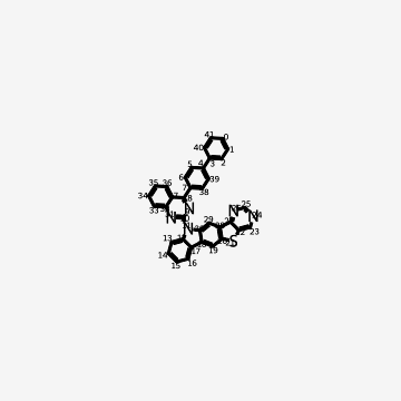 c1ccc(-c2ccc(-c3nc(-n4c5ccccc5c5cc6sc7cncnc7c6cc54)nc4ccccc34)cc2)cc1